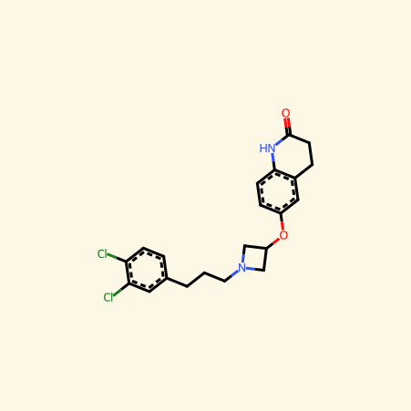 O=C1CCc2cc(OC3CN(CCCc4ccc(Cl)c(Cl)c4)C3)ccc2N1